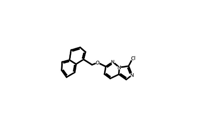 Clc1ncc2ccc(OCc3cccc4ccccc34)nn12